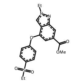 CCn1cc2c(Oc3ccc(S(=O)(=O)CC)cc3)cc(C(=O)OC)cc2n1